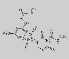 COc1cc(OCC(=O)OC(C)(C)C)c2c(c1)C(=O)N(C1CCC(=O)N(C(=O)OC(C)(C)C)C1=O)C2=O